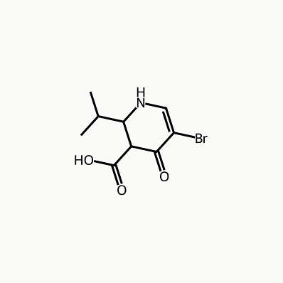 CC(C)C1NC=C(Br)C(=O)C1C(=O)O